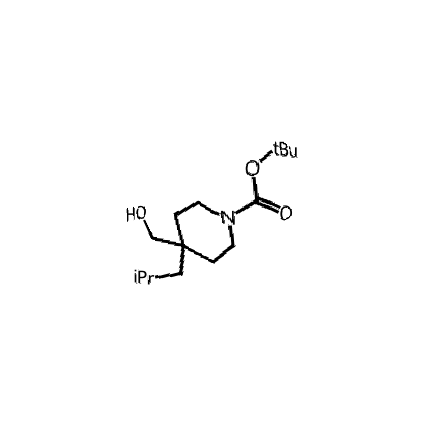 CC(C)CC1(CO)CCN(C(=O)OC(C)(C)C)CC1